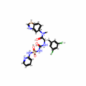 CN(C(=O)[C@H](Cc1cc(F)cc(F)c1)NC(=O)NS(=O)(=O)Nc1ccccn1)c1ccc2scnc2c1